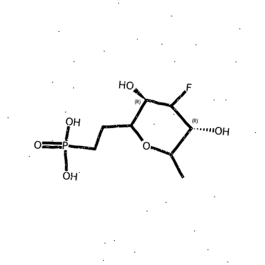 CC1OC(CCP(=O)(O)O)[C@@H](O)C(F)[C@@H]1O